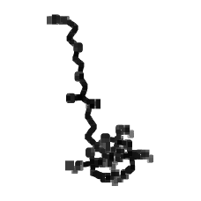 C=C[Si](C)(C)O[Si](C)(C)O[Si](C)(CCCNC(=O)COCCOCCCCCCCCCCCC)O[Si](C)(C)C=C